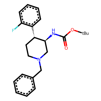 CC(C)(C)OC(=O)N[C@H]1CN(Cc2ccccc2)CC[C@@H]1c1ccccc1F